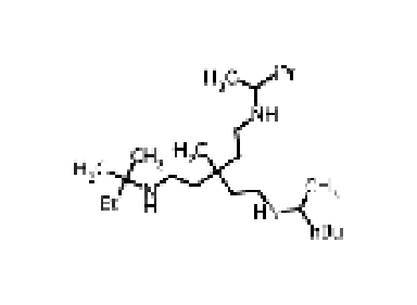 [CH2]C(CCNC(C)CCCC)(CCNC(C)C(C)C)CCNC(C)(C)CC